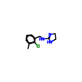 Cc1cccc(CNC2=NCCN2)c1Cl